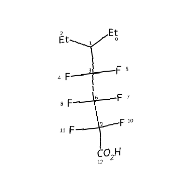 CCC(CC)C(F)(F)C(F)(F)C(F)(F)C(=O)O